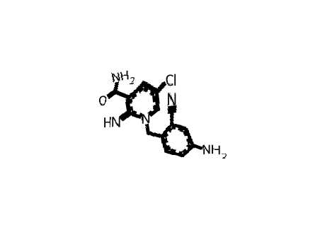 N#Cc1cc(N)ccc1Cn1cc(Cl)cc(C(N)=O)c1=N